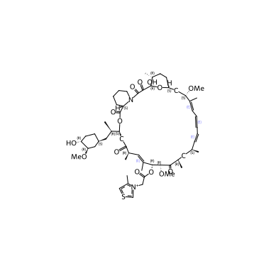 CO[C@H]1C[C@@H]2CC[C@@H](C)[C@@](O)(O2)C(=O)C(=O)N2CCCC[C@H]2C(=O)O[C@H]([C@H](C)C[C@@H]2CC[C@@H](O)[C@H](OC)C2)CC(=O)[C@H](C)/C=C(\C)[C@@H](OC(=O)C[n+]2cscc2C)[C@@H](OC)C(=O)[C@H](C)C[C@H](C)/C=C/C=C/C=C/1C